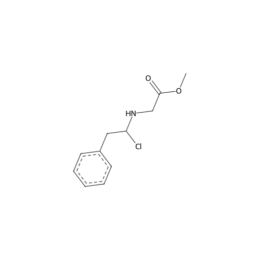 COC(=O)CNC(Cl)Cc1ccccc1